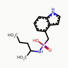 O=C(O)CCC(NP(=O)(O)Cc1cccc2[nH]ccc12)C(=O)O